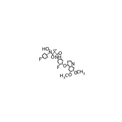 COc1cc2nccc(Oc3ccc(NC(=O)C4(C(=O)N(CO)c5ccc(F)cc5)CC4)cc3F)c2cc1OC